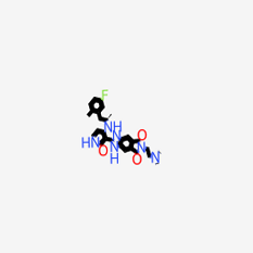 Cc1ccc(F)cc1C[C@H](C)Nc1cc[nH]c(=O)c1-c1nc2cc3c(cc2[nH]1)C(=O)N(CCN(C)C)C3=O